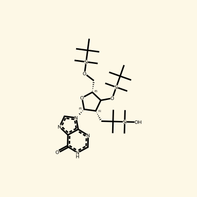 CC(C)(C[C@H]1C(O[Si](C)(C)C(C)(C)C)[C@@H](CO[Si](C)(C)C(C)(C)C)O[C@H]1n1cnc2c(=O)[nH]cnc21)[Si](C)(C)O